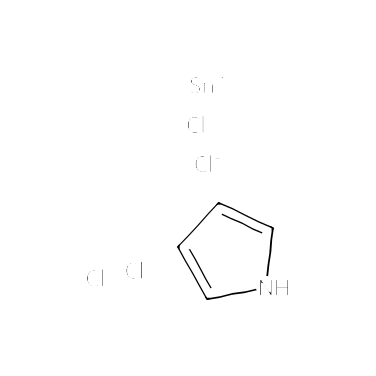 [Cl-].[Cl-].[Cl-].[Cl-].[Sn+4].c1cc[nH]c1